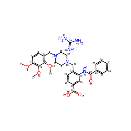 COc1ccc(CN2CCN(Cc3ccc(C(=O)O)cc3NC(=O)c3ccccc3)CC2)c(OC)c1OC.N=C(N)N